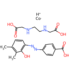 Cc1ccc(N=Nc2ccc(C(=O)O)cc2)c(O)c1C.O=C(O)CNCCNCC(=O)O.[Co].[H+]